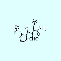 C=C(C(=O)c1c(C=O)cccc1CC(I)CC)C(CCC(C)=O)C(N)=O